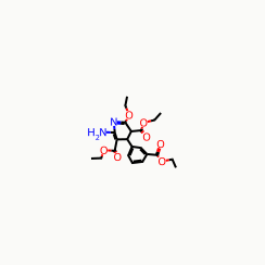 CCOC(=O)C1=C(N)N=C(OCC)C(C(=O)OCC)C1c1cccc(C(=O)OCC)c1